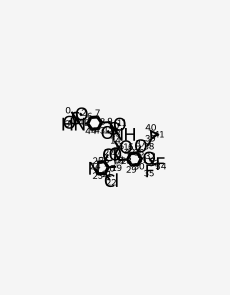 CS(=O)(=O)Nc1ccc(CS(=O)(=O)NCC(=O)O[C@@H](Cc2c(Cl)cncc2Cl)c2ccc(OC(F)F)c(OCC3CC3)c2)cc1